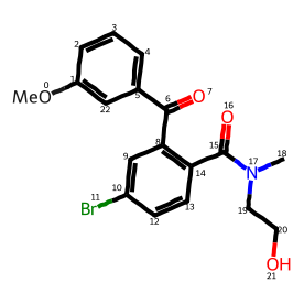 COc1cccc(C(=O)c2cc(Br)ccc2C(=O)N(C)CCO)c1